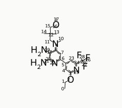 CCOc1cc(-c2cc(N(C)CC(C)(C)COC)c(N)c(N)n2)cc(C(F)(F)F)n1